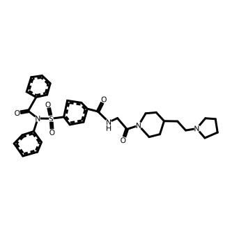 O=C(NCC(=O)N1CCC(CCN2CCCC2)CC1)c1ccc(S(=O)(=O)N(C(=O)c2ccccc2)c2ccccc2)cc1